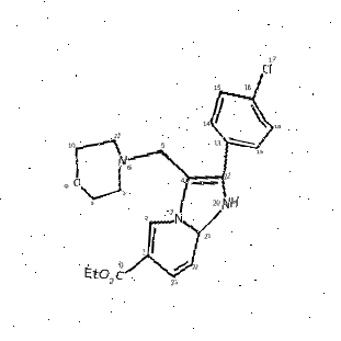 CCOC(=O)C1=CN2C(CN3CCOCC3)=C(c3ccc(Cl)cc3)NC2C=C1